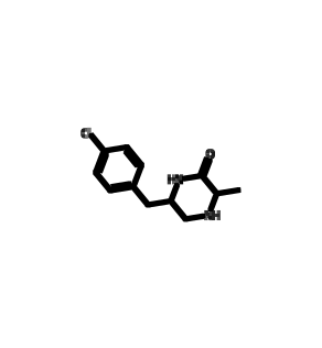 CC1NCC(Cc2ccc(Cl)cc2)NC1=O